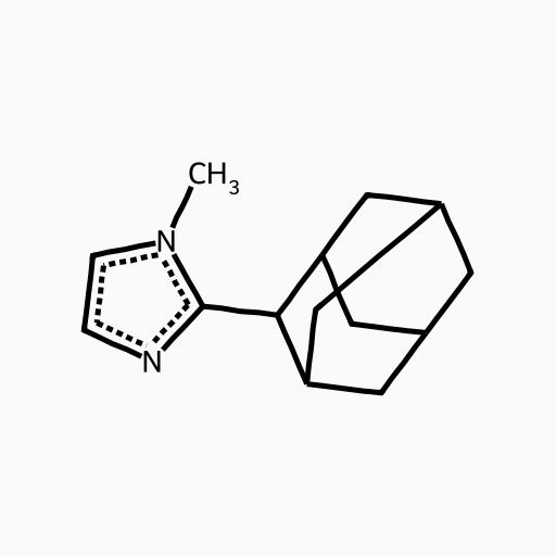 Cn1ccnc1C1C2CC3CC(C2)CC1C3